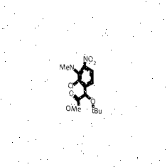 CNc1c([N+](=O)[O-])ccc(C(OC(C)(C)C)C(=O)OC)c1Cl